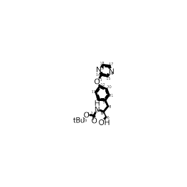 CC(C)(C)OC(=O)N[C@H](CO)Cc1ccc(Oc2cnccn2)cc1